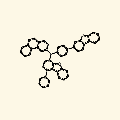 c1ccc(-c2ccc(N(c3ccc(-c4ccc5c(c4)oc4ccccc45)cc3)c3ccc4ccc5ccccc5c4c3)c3oc4ccccc4c23)cc1